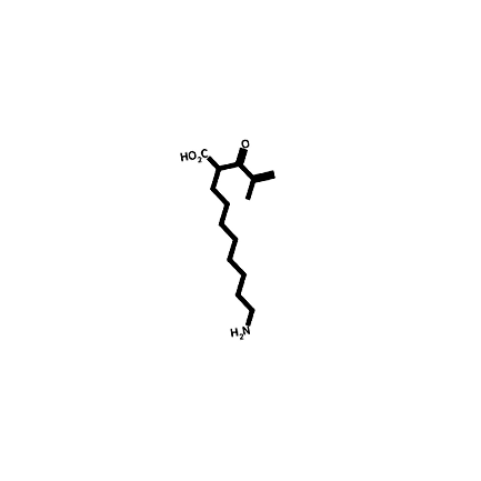 C=C(C)C(=O)C(CCCCCCCCN)C(=O)O